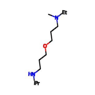 CCN(C)CCCOCCCNC(C)C